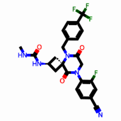 CNC(=O)N[C@H]1C[C@@]2(C1)C(=O)N(c1ccc(C#N)cc1F)CC(=O)N2Cc1ccc(C(F)(F)F)cc1